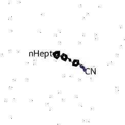 CCCCCCCc1ccc([C@H]2CC[C@H](CC[C@H]3CC[C@H](/C=C/C=C/C#N)CC3)CC2)cc1